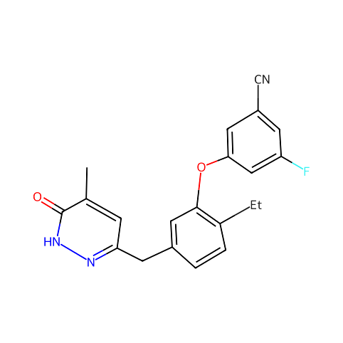 CCc1ccc(Cc2cc(C)c(=O)[nH]n2)cc1Oc1cc(F)cc(C#N)c1